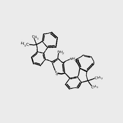 CC1(C)c2ccccc2-c2c(-c3sc(-c4cccc5c4-c4ccccc4C5(C)C)c(N)c3N)cccc21